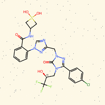 O=C(NC1CS(O)(O)C1)c1ccccc1-n1cnc(Cn2nc(-c3ccc(Cl)cc3)n(C[C@H](O)C(F)(F)F)c2=O)n1